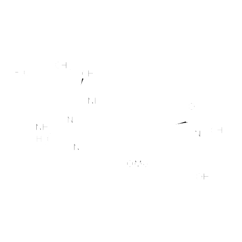 COc1cc2nc(C)nc(N[C@H](C)c3cc(N)cc(C(F)(F)F)c3C)c2cc1[C@H]1CC[C@H](C(=O)N(C)CCO)CC1